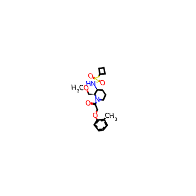 COC[C@H]1[C@@H](NS(=O)(=O)C2CCC2)CCCN1C(=O)COc1ccccc1C